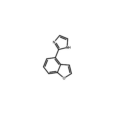 c1cc(-c2ncc[nH]2)c2ccoc2c1